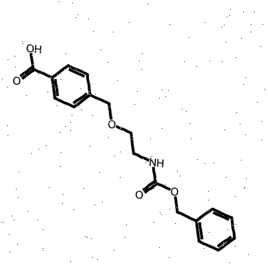 O=C(NCCOCc1ccc(C(=O)O)cc1)OCc1ccccc1